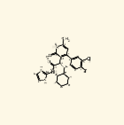 Cc1cc(-c2ccc(F)c(Cl)c2)c([C@H](CC2CCCCC2)C(=O)Nc2nccs2)c(=O)[nH]1